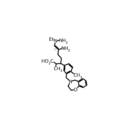 CCN(N)/C=C(\N)CCC(c1ccc(C)c(CN2CCOc3ccccc3C2)c1)C(C)C(=O)O